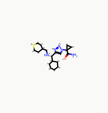 NC(=O)C1(n2cc([C@@H](NCC3CCSCC3)C3CCCCC3)nn2)CC1